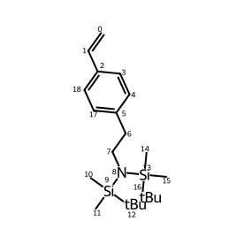 C=Cc1ccc(CCN([Si](C)(C)C(C)(C)C)[Si](C)(C)C(C)(C)C)cc1